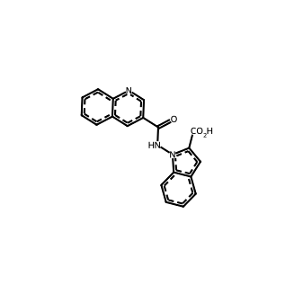 O=C(Nn1c(C(=O)O)cc2ccccc21)c1cnc2ccccc2c1